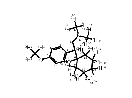 [2H]C([2H])([2H])Oc1ccc([C@@]([2H])(CN(C([2H])([2H])[2H])C([2H])([2H])[2H])C2(O)C([2H])([2H])C([2H])([2H])C([2H])([2H])C([2H])([2H])C2([2H])[2H])cc1